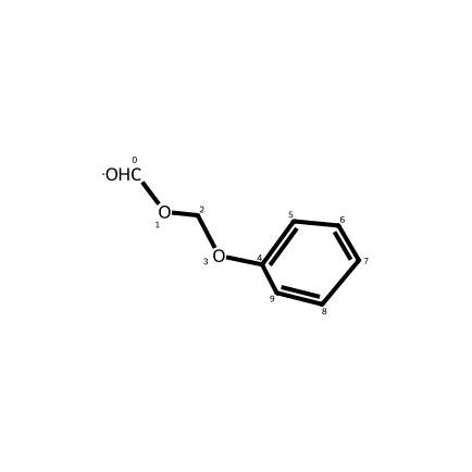 O=[C]OCOc1ccccc1